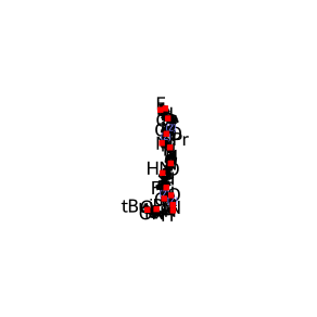 CC(C)c1c(/C=c2\[nH]c(=O)/c(=C/c3cccc(C(=O)c4ccc(F)cc4)c3)[nH]c2=O)ncn1CCCN1CCN(C(=O)NC2CCC(c3cc(F)c(/C=c4\[nH]c(=O)/c(=C/c5ncn(CCCN6CCN(C(=O)OC(C)(C)C)CC6)c5C(C)C)[nH]c4=O)cc3F)CC2)CC1